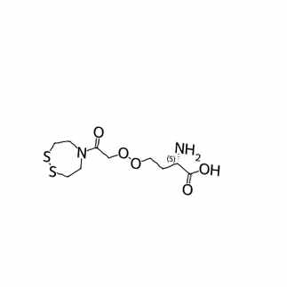 N[C@@H](CCOOCC(=O)N1CCSSCC1)C(=O)O